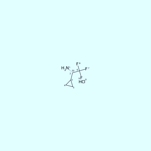 Cl.N[C@@H](C1CC1)C(F)(F)F